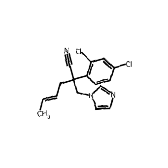 C/C=C/CC(C#N)(Cn1ccnc1)c1ccc(Cl)cc1Cl